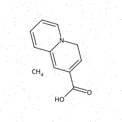 C.O=C(O)C1=CCN2C=CC=CC2=C1